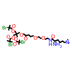 CN(C)CCCC[C@H](N)C(=O)NCCOCCOCCCC(=O)COCC(COC(=O)C(C)(C)Br)(COC(=O)C(C)(C)Br)COC(=O)C(C)(C)Br